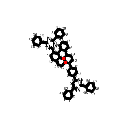 c1ccc(-c2cc(-c3ccc(-c4ccc(-c5ccccc5-c5c(-c6nc(-c7ccccc7)nc(-c7ccccc7)n6)ccc6ccccc56)cc4)cc3)nc(-c3ccccc3)n2)cc1